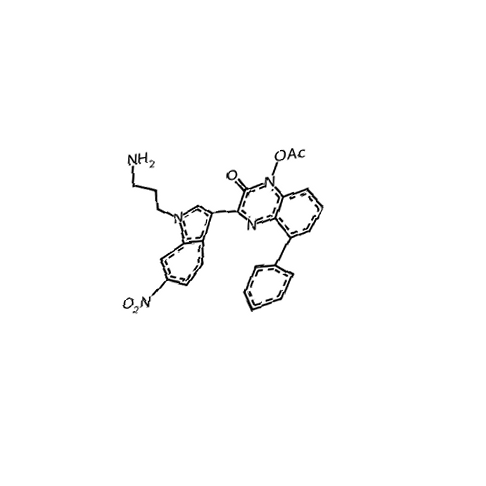 CC(=O)On1c(=O)c(-c2cn(CCCN)c3cc([N+](=O)[O-])ccc23)nc2c(-c3ccccc3)cccc21